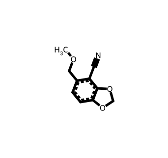 COCc1ccc2c(c1C#N)OCO2